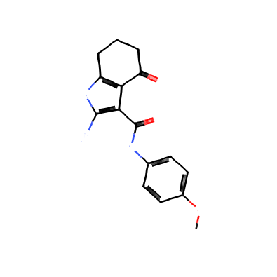 CCOc1ccc(NC(=O)c2c(N)[nH]c3c2C(=O)CCC3)cc1